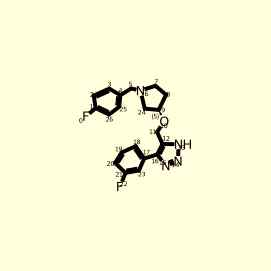 Fc1ccc(CN2CC[C@H](OCc3[nH]nnc3-c3cccc(F)c3)C2)cc1